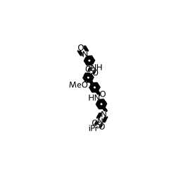 COc1ccc(S(=O)(=O)Nc2ccc(N3CCOCC3)cc2)cc1-c1ccc(C(=O)Nc2ccc(CN3CCN(S(=O)(=O)C(C)C)CC3)cc2)cc1